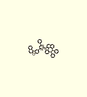 c1ccc(-c2cc(-c3ccc4oc5ccc6ccccc6c5c4c3)nc(-n3c4cccc5c4c4c6c(cccc6ccc43)C(c3ccccc3)C5c3ccccc3)n2)cc1